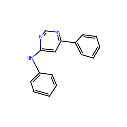 c1ccc(Nc2cc(-c3ccccc3)ncn2)cc1